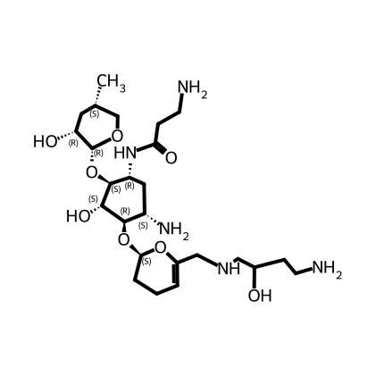 C[C@@H]1CO[C@H](O[C@@H]2[C@@H](O)[C@H](O[C@@H]3CCC=C(CNCC(O)CCN)O3)[C@@H](N)C[C@H]2NC(=O)CCN)[C@H](O)C1